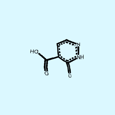 O=C(O)c1ccn[nH]c1=O